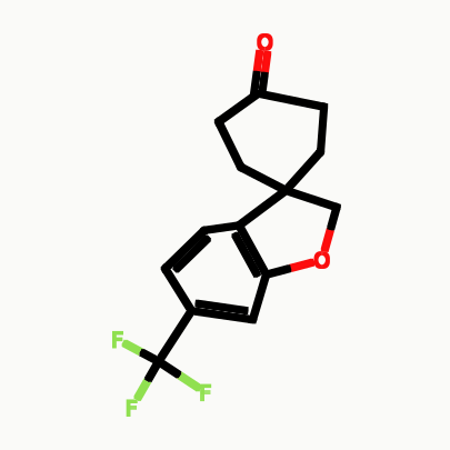 O=C1CCC2(CC1)COc1cc(C(F)(F)F)ccc12